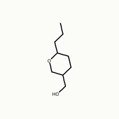 CCCC1CCC(CO)CO1